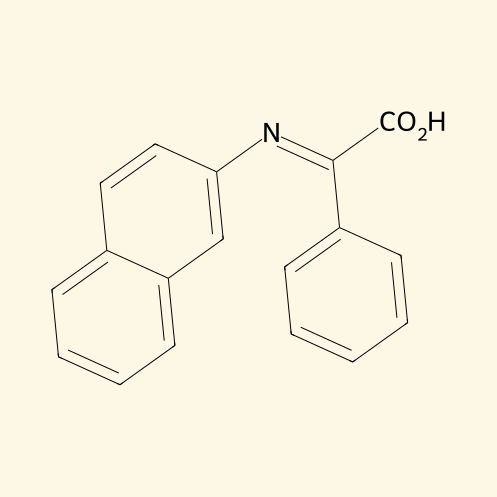 O=C(O)C(=Nc1ccc2ccccc2c1)c1ccccc1